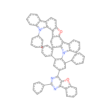 c1ccc(-c2nc(-c3cc(-c4ccccc4)c(-n4c5ccccc5c5c6oc7ccc8c9ccccc9n(-c9ccccc9)c8c7c6ccc54)c(-c4ccccc4)c3)c3oc4ccccc4c3n2)cc1